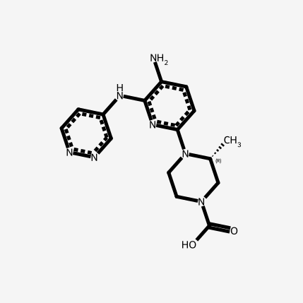 C[C@@H]1CN(C(=O)O)CCN1c1ccc(N)c(Nc2ccnnc2)n1